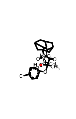 CN(C)S(=O)(=O)C12CC3CC(C1)C(NC(=O)C(C)(C)Oc1ccc(Cl)cc1)C(C3)C2